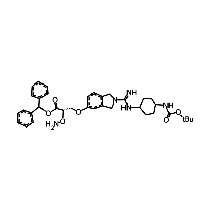 CC(C)(C)OC(=O)NC1CCC(NC(=N)N2Cc3ccc(OC[C@H](ON)C(=O)OC(c4ccccc4)c4ccccc4)cc3C2)CC1